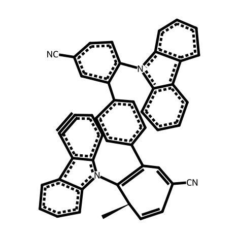 C[C@@H]1C=CC(C#N)=CC(c2ccc(-c3cc(C#N)ccc3-n3c4ccccc4c4ccccc43)cc2)=C1n1c2ccc#cc2c2ccccc21